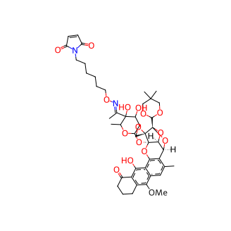 COc1c2c(c(O)c3c4c(c(C)cc13)[C@@H]1O[C@@]3(C5OCC(C)(C)CO5)O[C@@H]1[C@@](OC1CC(O)C(O)(/C(C)=N/OCCCCCCN5C(=O)C=CC5=O)C(C)O1)(O4)[C@@]31CO1)C(=O)CCC2